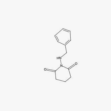 O=C1CCCC(=O)N1NCc1ccccc1